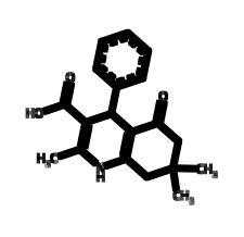 CC1=C(C(=O)O)C(c2ccccc2)C2=C(CC(C)(C)CC2=O)N1